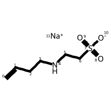 C=CCCNCCS(=O)(=O)[O-].[Na+]